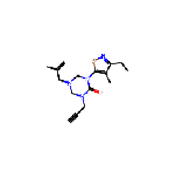 C#CCN1CN(CC(=C)C)CN(c2snc(CC)c2C)C1=O